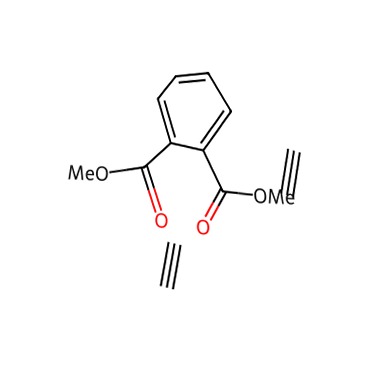 C#C.C#C.COC(=O)c1ccccc1C(=O)OC